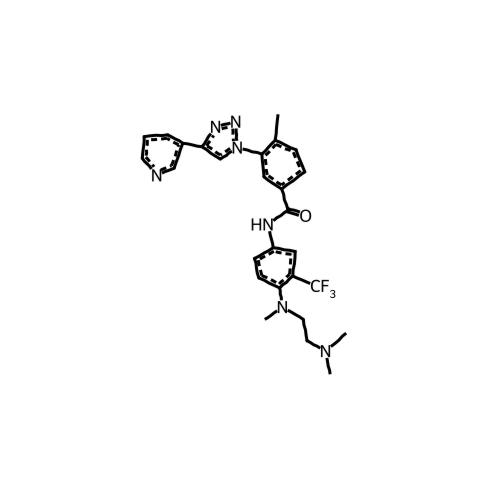 Cc1ccc(C(=O)Nc2ccc(N(C)CCN(C)C)c(C(F)(F)F)c2)cc1-n1cc(-c2cccnc2)nn1